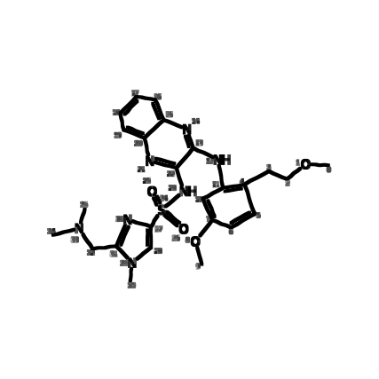 COCCc1ccc(OC)cc1Nc1nc2ccccc2nc1NS(=O)(=O)c1cn(C)c(CN(C)C)n1